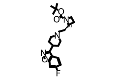 CC(C)(C)OC(=O)N1CC[C@H]1CCN1CCC(c2noc3cc(F)ccc23)CC1